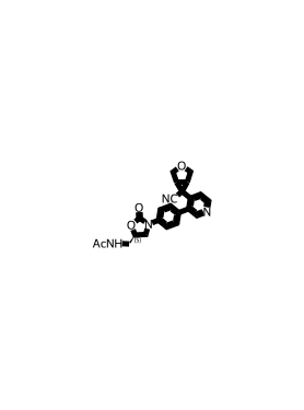 CC(=O)NC[C@H]1CN(c2ccc(-c3cnccc3C3(C#N)C4COCC43)cc2)C(=O)O1